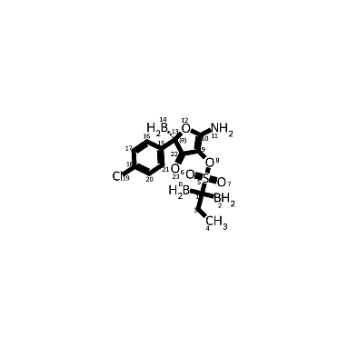 BC(B)(CC)S(=O)(=O)OC1=C(N)O[C@](B)(c2ccc(Cl)cc2)C1=O